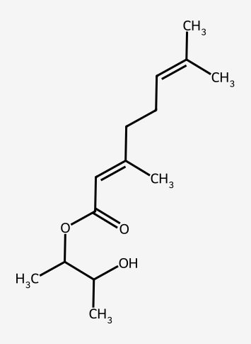 CC(C)=CCC/C(C)=C/C(=O)OC(C)C(C)O